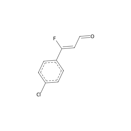 O=CC=C(F)c1ccc(Cl)cc1